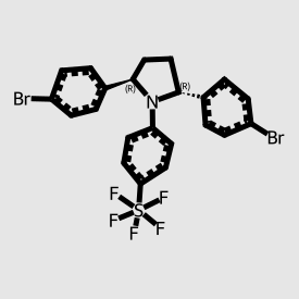 FS(F)(F)(F)(F)c1ccc(N2[C@@H](c3ccc(Br)cc3)CC[C@@H]2c2ccc(Br)cc2)cc1